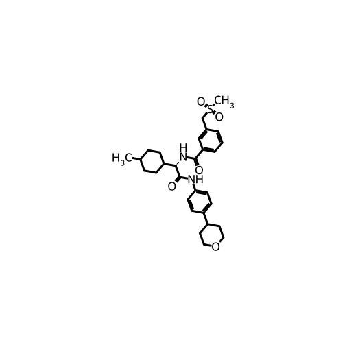 CC1CCC([C@H](NC(=O)c2cccc(CS(C)(=O)=O)c2)C(=O)Nc2ccc(C3CCOCC3)cc2)CC1